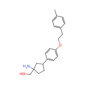 Cc1ccc(CCOc2ccc(C3CCC(N)(CO)C3)cc2)cc1